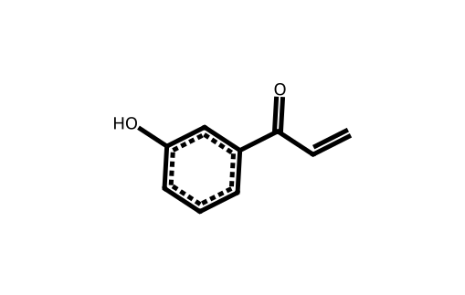 C=CC(=O)c1cccc(O)c1